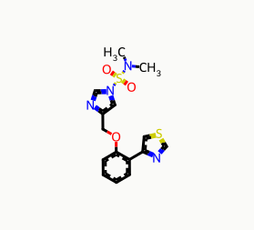 CN(C)S(=O)(=O)n1cnc(COc2ccccc2-c2cscn2)c1